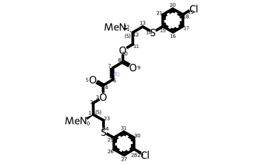 CN[C@@H](COC(=O)/C=C/C(=O)OC[C@@H](CSc1ccc(Cl)cc1)NC)CSc1ccc(Cl)cc1